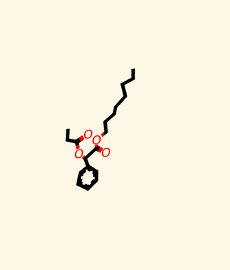 CCCCCCCCOC(=O)C(OC(=O)CC)c1ccccc1